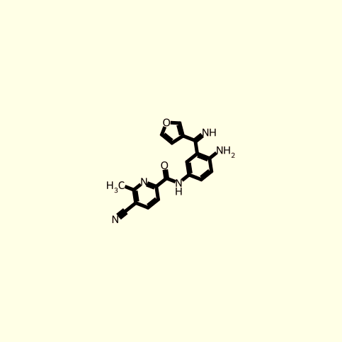 Cc1nc(C(=O)Nc2ccc(N)c(C(=N)c3ccoc3)c2)ccc1C#N